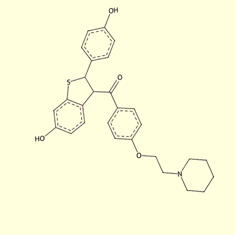 O=C(c1ccc(OCCN2CCCCC2)cc1)C1c2ccc(O)cc2SC1c1ccc(O)cc1